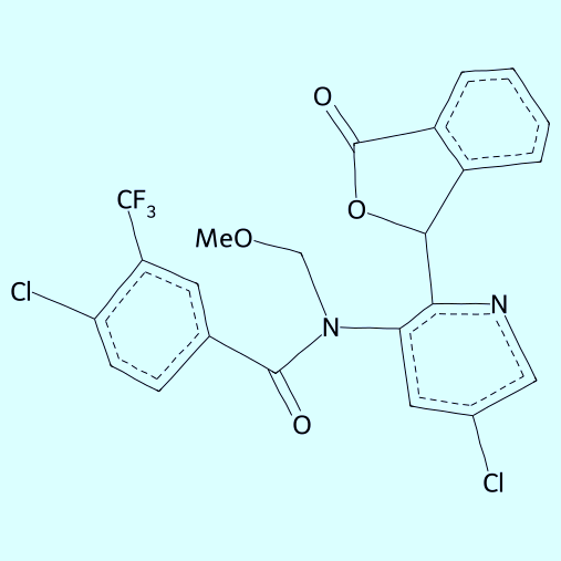 COCN(C(=O)c1ccc(Cl)c(C(F)(F)F)c1)c1cc(Cl)cnc1C1OC(=O)c2ccccc21